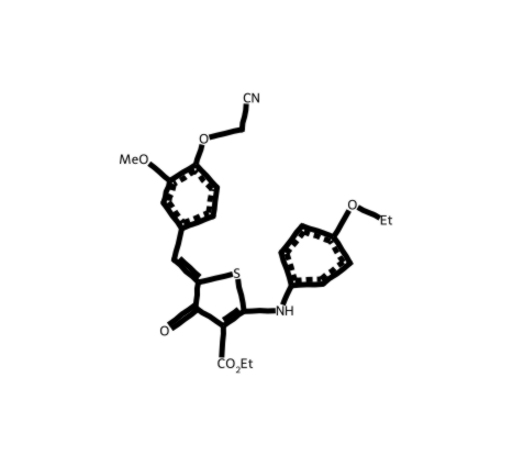 CCOC(=O)C1=C(Nc2ccc(OCC)cc2)S/C(=C\c2ccc(OCC#N)c(OC)c2)C1=O